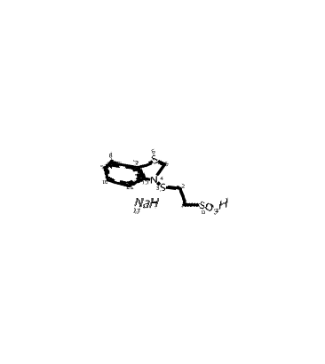 O=S(=O)(O)CCSN1CSc2ccccc21.[NaH]